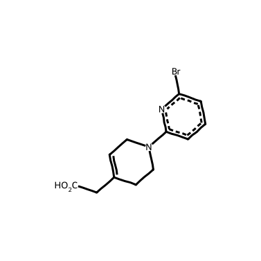 O=C(O)CC1=CCN(c2cccc(Br)n2)CC1